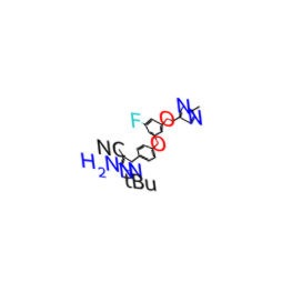 Cc1ncc(COc2cc(F)cc(Oc3ccc(-c4nn(C(C)(C)C)c(N)c4C#N)cc3)c2)cn1